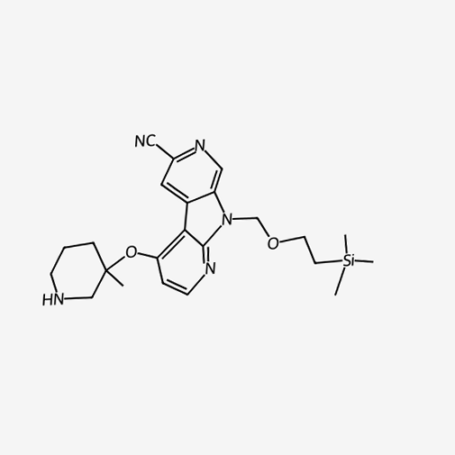 CC1(Oc2ccnc3c2c2cc(C#N)ncc2n3COCC[Si](C)(C)C)CCCNC1